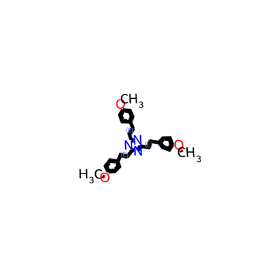 COc1ccc(/C=C/c2nc(/C=C/c3ccc(OC)cc3)nc(/C=C/c3ccc(OC)cc3)n2)cc1